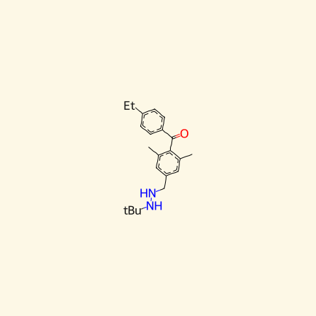 CCc1ccc(C(=O)c2c(C)cc(CNNC(C)(C)C)cc2C)cc1